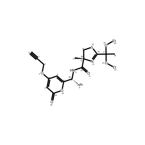 C#CCOc1cc([C@@H](CCC)NC(=O)[C@]2(C)CSC(C(C)(OCC)OCC)=N2)oc(=O)c1